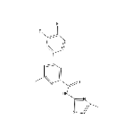 Cc1cc(-c2ccc(F)c(F)c2)cc(C(=O)Nc2nc(C)cs2)n1